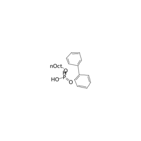 CCCCCCCCO[PH](=O)O.c1ccc(-c2ccccc2)cc1